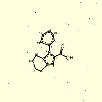 O=C(O)c1cc2c(n1-c1ccccc1)CCCC2